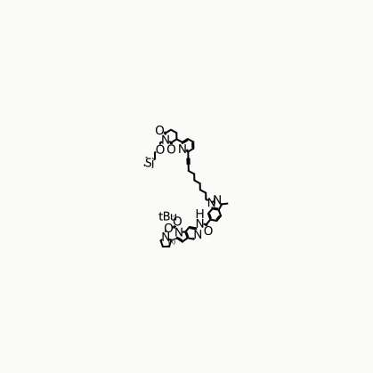 Cc1nn(CCCCCCCC#Cc2cccc(C3CCC(=O)N(COCC[Si](C)(C)C)C3=O)n2)c2cc(C(=O)Nc3cc4c(cn3)cc([C@H]3CCCN3C)n4C(=O)OC(C)(C)C)ccc12